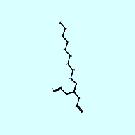 C=CC[C](CC=C)CCCCCCCCCC